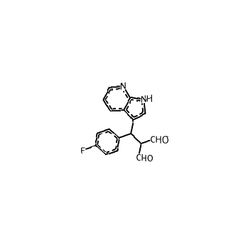 O=CC(C=O)C(c1ccc(F)cc1)c1c[nH]c2ncccc12